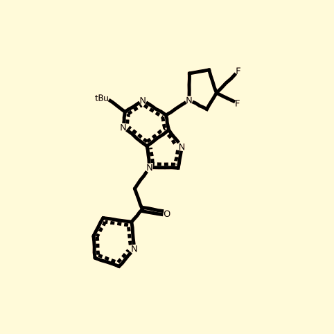 CC(C)(C)c1nc(N2CCC(F)(F)C2)c2ncn(CC(=O)c3ccccn3)c2n1